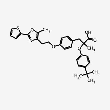 Cc1oc(-c2cccs2)nc1CCOc1ccc(CC(C)(Oc2ccc(C(C)(C)C)cc2)C(=O)O)cc1